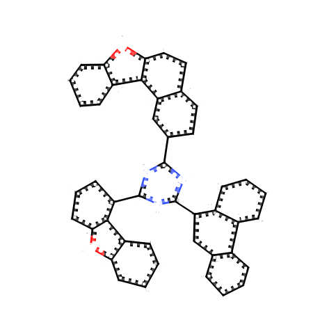 c1ccc2c(c1)cc(-c1nc(-c3ccc4ccc5oc6ccccc6c5c4c3)nc(-c3cccc4oc5ccccc5c34)n1)c1ccccc12